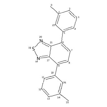 Cc1cccc(-c2ccc(-c3cccc(C)c3)c3nsnc23)c1